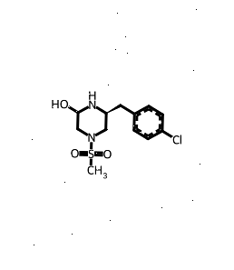 CS(=O)(=O)N1CC(O)N[C@@H](Cc2ccc(Cl)cc2)C1